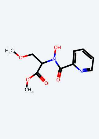 COCC(C(=O)OC)N(O)C(=O)c1ccccn1